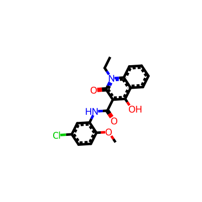 CCn1c(=O)c(C(=O)Nc2cc(Cl)ccc2OC)c(O)c2ccccc21